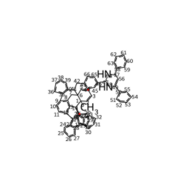 CC12C=CC=CC13Cc1c(ccc4c1C2(c1ccccc1)c1c-4c2ccccc2c2ccccc12)-c1ccccc1C3Cc1ccc(C2NC(c3ccccc3)=CC(c3ccccc3)N2)cc1